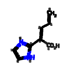 C=CC=C(C(=O)O)c1ncc[nH]1